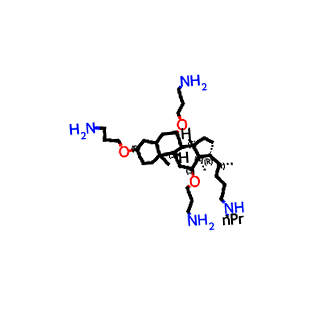 CCCNCCC[C@@H](C)[C@H]1CC[C@H]2C3C(OCCCN)CC4C[C@H](OCCCN)CCC4(C)[C@H]3C[C@H](OCCCN)[C@]12C